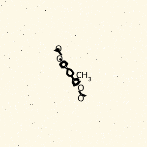 Cc1cc(OCC2CO2)ccc1C1CCC(c2ccc(OCC3CO3)cc2)CC1